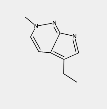 CCc1cnc2nn(C)ccc1-2